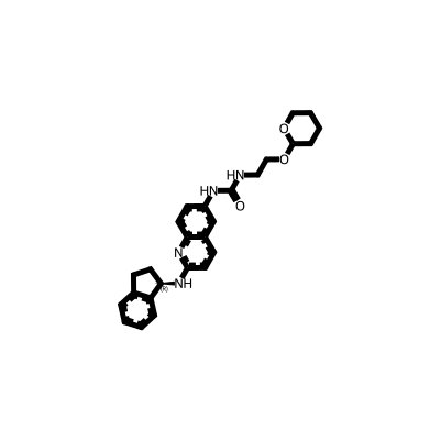 O=C(NCCOC1CCCCO1)Nc1ccc2nc(N[C@@H]3CCc4ccccc43)ccc2c1